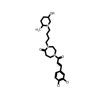 CC1CCC(O)CN1CCCCN1CCN(C(=O)/C=C/c2ccc(Cl)c(Cl)c2)CCC1=O